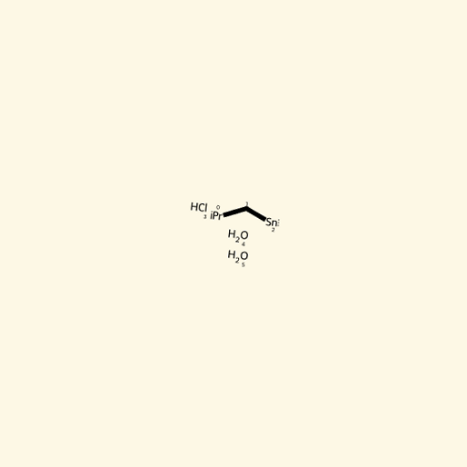 CC(C)[CH2][Sn].Cl.O.O